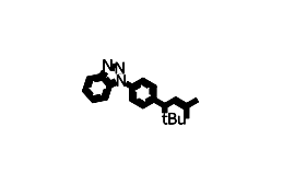 CC(C)=CC(c1ccc(-n2nnc3ccccc32)cc1)C(C)(C)C